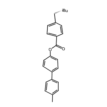 CC[C@@H](C)Cc1ccc(C(=O)Oc2ccc(-c3ccc(C)cc3)cc2)cc1